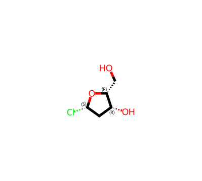 OC[C@H]1O[C@@H](Cl)C[C@H]1O